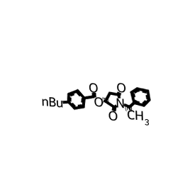 CCCCc1ccc(C(=O)O[C@@H]2CC(=O)N([C@H](C)c3ccccc3)C2=O)cc1